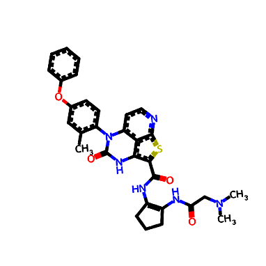 Cc1cc(Oc2ccccc2)ccc1N1C(=O)Nc2c(C(=O)NC3=C(NC(=O)CN(C)C)CCC3)sc3nccc1c23